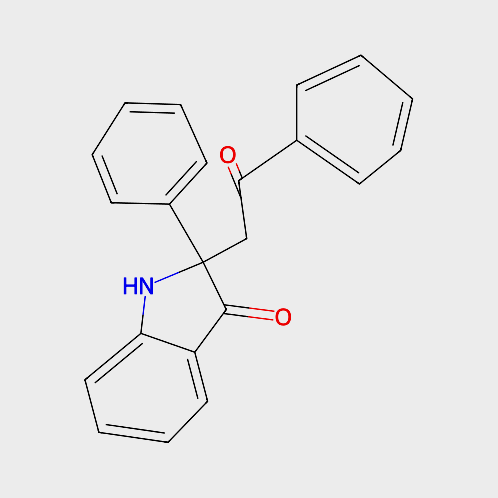 O=C(CC1(c2ccccc2)Nc2ccccc2C1=O)c1ccccc1